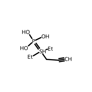 C#CC[SH](CC)(CC)=P(O)(O)O